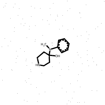 CN(c1ccccc1)C1(O)CCNCC1